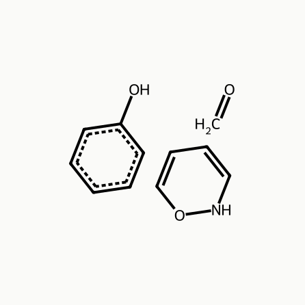 C1=CNOC=C1.C=O.Oc1ccccc1